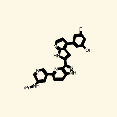 CC(C)Nc1cncc(-c2ccc3[nH]nc(-c4cc5c(-c6cc(O)cc(F)c6)ccnc5[nH]4)c3n2)c1